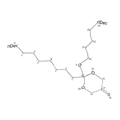 CCCCCCCCCCCCCCCCCC1(OCCCCCCCCCCCCCC)OCC(=O)CO1